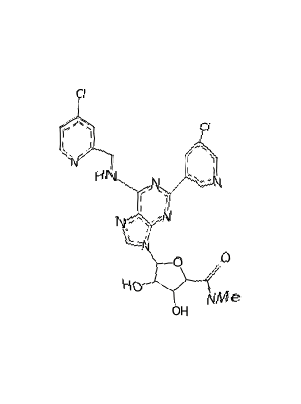 CNC(=O)C1OC(n2cnc3c(NCc4cc(Cl)ccn4)nc(-c4cncc(Cl)c4)nc32)C(O)C1O